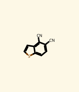 N#Cc1ccc2sccc2c1C#N